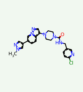 Cn1cc(-c2ccc3c(N4CCN(C(=O)NCc5ccc(Cl)nc5)CC4)cnn3c2)cn1